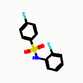 O=S(=O)(Nc1ccccc1F)c1ccc(F)cc1